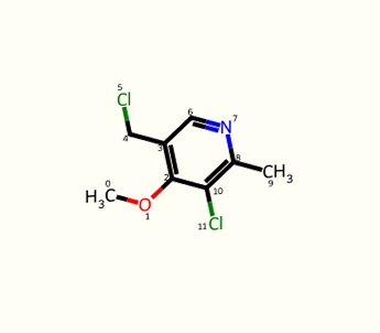 COc1c(CCl)cnc(C)c1Cl